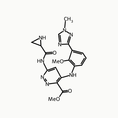 COC(=O)c1nnc(NC(=O)C2CN2)cc1Nc1cccc(-c2ncn(C)n2)c1OC